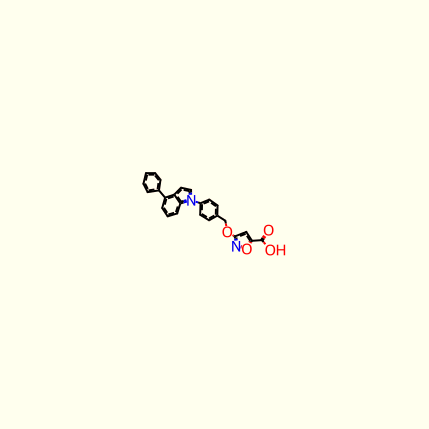 O=C(O)c1cc(OCc2ccc(-n3ccc4c(-c5ccccc5)cccc43)cc2)no1